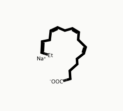 CC/C=C\C/C=C\C/C=C\C/C=C\CCCCC(=O)[O-].[Na+]